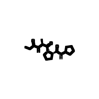 CCC(=O)N[C@@H](C)C(=O)N1CCC[C@H]1C(=O)NC1CCCC1